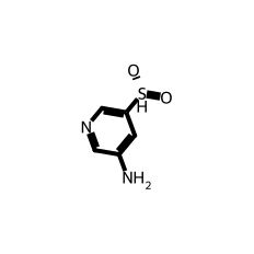 Nc1cncc([SH](=O)=O)c1